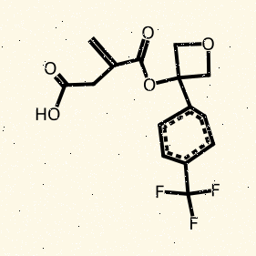 C=C(CC(=O)O)C(=O)OC1(c2ccc(C(F)(F)F)cc2)COC1